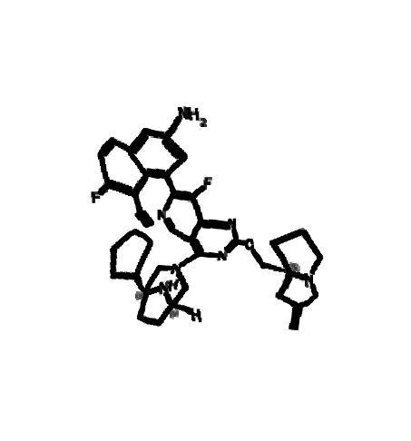 C#Cc1c(F)ccc2cc(N)cc(-c3ncc4c(N5C[C@@H]6CC[C@](C7CCCC7)(C5)N6)nc(OC[C@@]56CCCN5CC(=C)C6)nc4c3F)c12